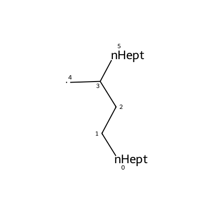 [CH2]CCCCCCCCC([CH2])CCCCCCC